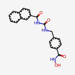 O=C(NCc1ccc(C(=O)NO)cc1)NC(=O)c1ccc2ccccc2c1